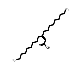 CCCCCCCCCC(=CC(=O)O)CCCCCCCCC